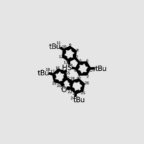 CC(C)(C)c1ccc2c(c1)-c1ccc(C(C)(C)C)cc1[SH]2c1cc(C(C)(C)C)cc2oc3c(C(C)(C)C)cccc3c12